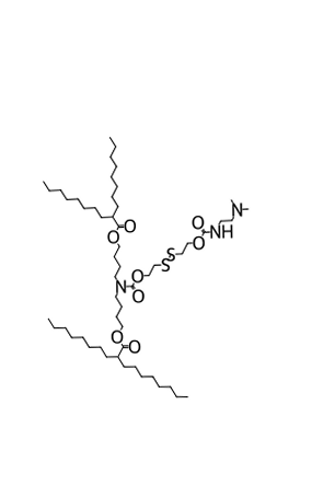 CCCCCCCCC(CCCCCCCC)C(=O)OCCCCN(CCCCOC(=O)C(CCCCCCCC)CCCCCCCC)C(=O)OCCSSCCOC(=O)NCCN(C)C